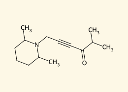 CC(C)C(=O)C#CCN1C(C)CCCC1C